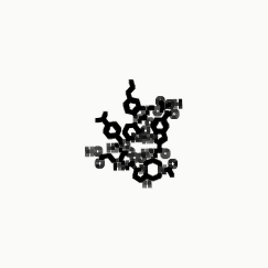 CCCc1ccc2c(c1)n(COP(=O)(O)C(=O)c1ccc3[nH]c(C(=O)N[C@H]4CN(C(C)=O)CC[C@H]5CC[C@@H](C(=O)N[C@@H](CCC(=O)O)C(=O)NCc6ccc(C(C)C)cc6)N5C4=O)cc3c1)c(=O)n2C1CCC(=O)NC1=O